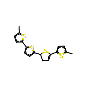 Cc1ccc(C2=CCC(c3ccc(-c4ccc(C)s4)s3)S2)s1